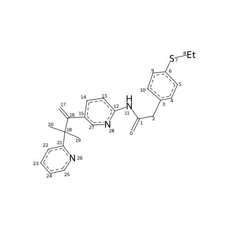 C=C(Cc1ccc(SCC)cc1)Nc1ccc(C(=C)C(C)(C)c2ccccn2)cn1